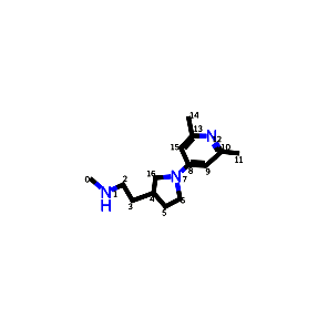 CNCCC1CCN(c2cc(C)nc(C)c2)C1